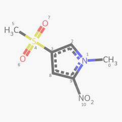 Cn1cc(S(C)(=O)=O)cc1[N+](=O)[O-]